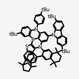 CC(C)(C)c1ccc(N2c3ccc(C(C)(C)C)cc3B3c4sc5cc6c(cc5c4N(c4cc5c(cc4-c4ccccc4)C(C)(C)CCC5(C)C)c4cc(-n5c7cc(C(C)(C)C)ccc7c7ccc(C(C)(C)C)cc75)cc2c43)C2(C)CCC6(C)C2)cc1